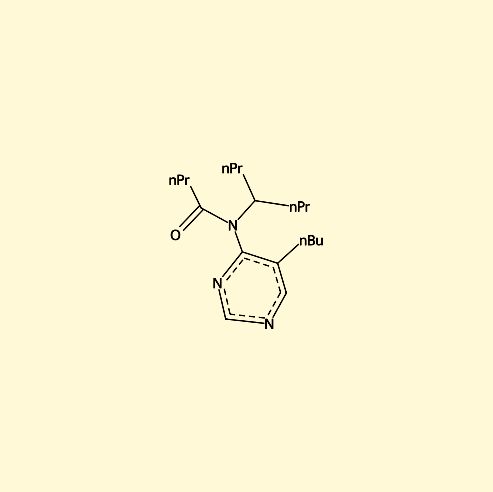 CCCCc1cncnc1N(C(=O)CCC)C(CCC)CCC